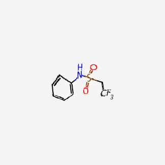 O=S(=O)(CC(F)(F)F)Nc1ccccc1